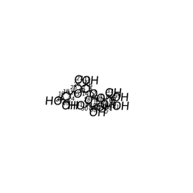 C[C@@H]1O[C@@H](O[C@H]2[C@H](Oc3cc(O)c4c(c3)OC(c3ccc(O)c(O)c3)CC4=O)O[C@H](CO)[C@@H](O)[C@@H]2O)[C@H](O)[C@H](O)[C@H]1O